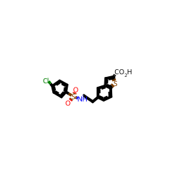 O=C(O)c1cc2cc(CCNS(=O)(=O)c3ccc(Cl)cc3)ccc2s1